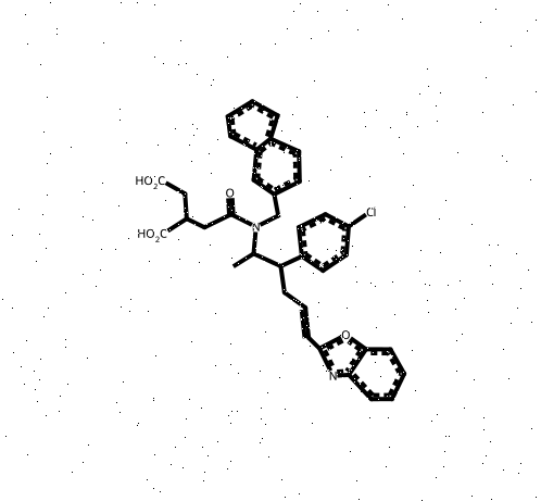 CC(C(C/C=C/c1nc2ccccc2o1)c1ccc(Cl)cc1)N(Cc1ccc2ccccc2c1)C(=O)CC(CC(=O)O)C(=O)O